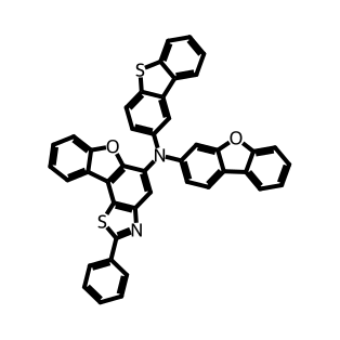 c1ccc(-c2nc3cc(N(c4ccc5c(c4)oc4ccccc45)c4ccc5sc6ccccc6c5c4)c4oc5ccccc5c4c3s2)cc1